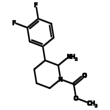 COC(=O)N1CCCC(c2ccc(F)c(F)c2)C1N